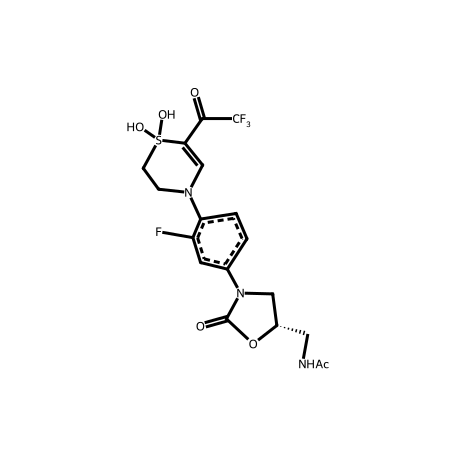 CC(=O)NC[C@H]1CN(c2ccc(N3C=C(C(=O)C(F)(F)F)S(O)(O)CC3)c(F)c2)C(=O)O1